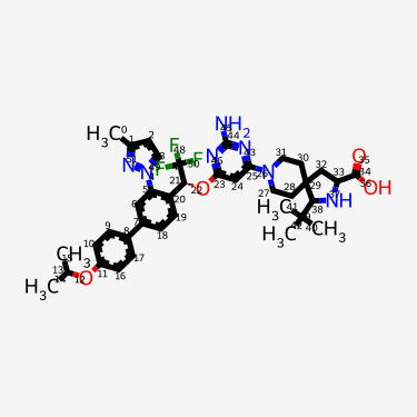 Cc1ccn(-c2cc(-c3ccc(OC(C)C)cc3)ccc2[C@@H](Oc2cc(N3CCC4(CC3)CC(C(=O)O)NC4C(C)(C)C)nc(N)n2)C(F)(F)F)n1